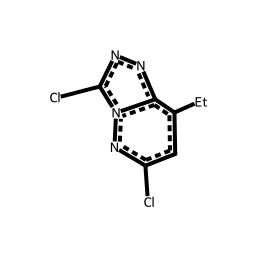 CCc1cc(Cl)nn2c(Cl)nnc12